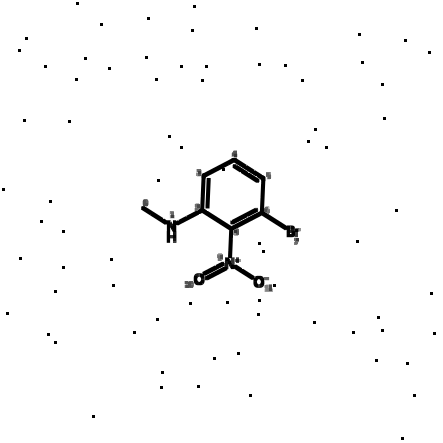 CNc1cccc(Br)c1[N+](=O)[O-]